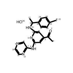 CC(=O)c1cc(Nc2cnccn2)nc(NC(C)c2ccc(F)cc2)c1.Cl